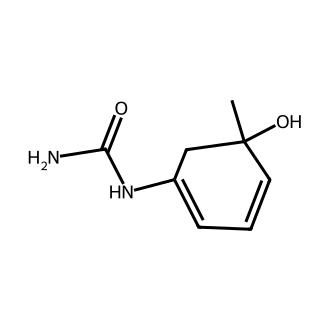 CC1(O)C=CC=C(NC(N)=O)C1